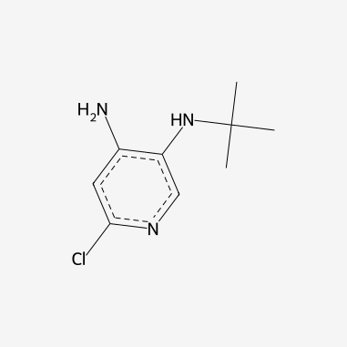 CC(C)(C)Nc1cnc(Cl)cc1N